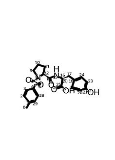 Cc1ccc(S(=O)(=O)N2CCC[C@H]2C(=O)N[C@@H](Cc2ccc(O)cc2)C(=O)O)cc1